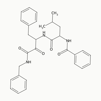 CC(C)CC(NC(=O)c1ccccc1)C(=O)NC(Cc1ccccc1)C(=O)C(=O)NCc1ccccc1